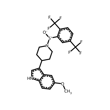 COc1ccc2[nH]cc(C3CCN([S+]([O-])c4cc(C(F)(F)F)ccc4C(F)(F)F)CC3)c2c1